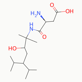 CC(C)C(CC(O)C(C)(C)NC(=O)[C@@H](N)CC(=O)O)C(C)C